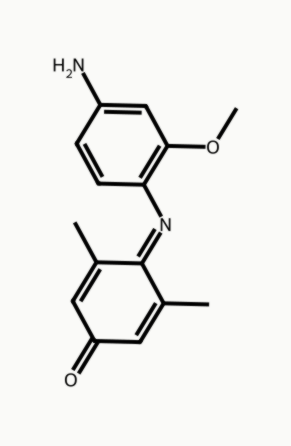 COc1cc(N)ccc1N=C1C(C)=CC(=O)C=C1C